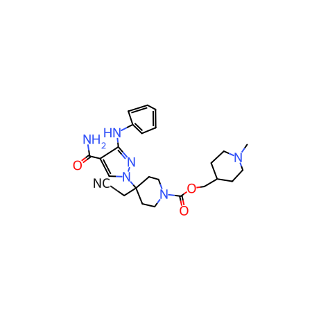 CN1CCC(COC(=O)N2CCC(CC#N)(n3cc(C(N)=O)c(Nc4ccccc4)n3)CC2)CC1